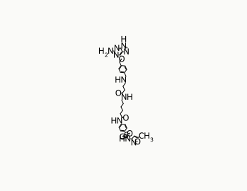 Cc1cc(NS(=O)(=O)c2ccc(NC(=O)CCCCCNC(=O)CCCNCc3ccc(COc4nc(N)nc5[nH]cnc45)cc3)cc2)no1